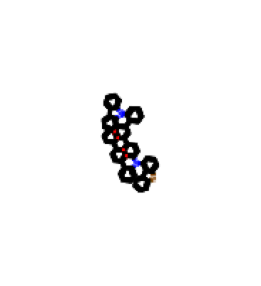 c1ccc(-c2ccc(-c3ccccc3N(c3ccc(-c4cccc(-c5ccccc5-n5c6ccccc6c6ccccc65)c4)cc3)c3cccc4sc5ccccc5c34)cc2)cc1